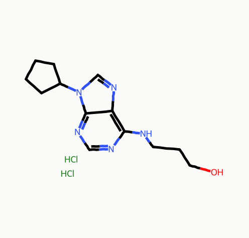 Cl.Cl.OCCCNc1ncnc2c1ncn2C1CCCC1